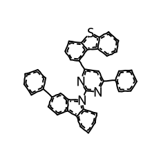 c1ccc(-c2ccc3c4ccccc4n(-c4nc(-c5ccccc5)cc(-c5cccc6sc7ccccc7c56)n4)c3c2)cc1